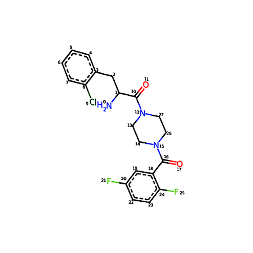 NC(Cc1ccccc1Cl)C(=O)N1CCN(C(=O)c2cc(F)ccc2F)CC1